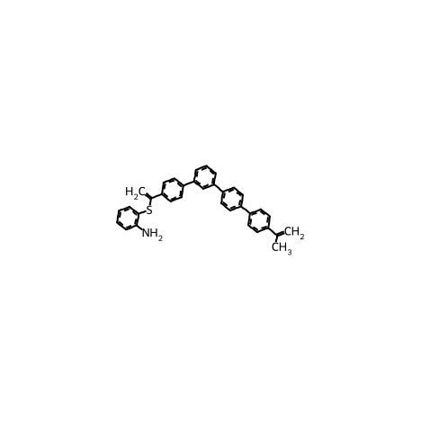 C=C(C)c1ccc(-c2ccc(-c3cccc(-c4ccc(C(=C)Sc5ccccc5N)cc4)c3)cc2)cc1